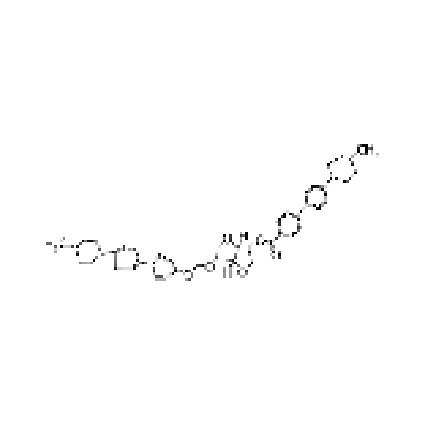 CC1CCC(c2ccc(-c3ccc(OCO[C@H]4CO[C@H]5[C@@H]4OC[C@H]5OC(=O)c4ccc(-c5ccc(C6CCC(C)CC6)cc5)cc4)cc3)cc2)CC1